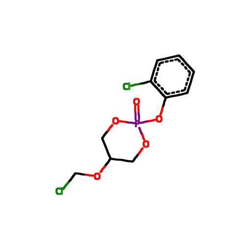 O=P1(Oc2ccccc2Cl)OCC(OCCl)CO1